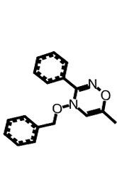 CC1=CN(OCc2ccccc2)C(c2ccccc2)=NO1